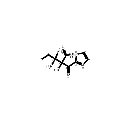 CCC(N)(N)C(O)(C(=O)O)C(=O)c1ncc[nH]1